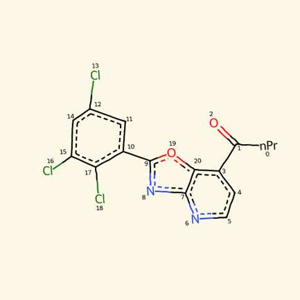 CCCC(=O)c1ccnc2nc(-c3cc(Cl)cc(Cl)c3Cl)oc12